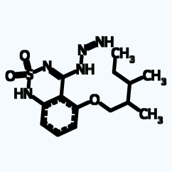 CCC(C)C(C)COc1cccc2c1C(NN=N)=NS(=O)(=O)N2